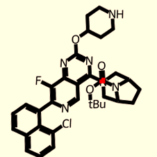 CC(C)(C)OC(=O)N1C2CCC1CN(c1nc(OC3CCNCC3)nc3c(F)c(-c4cccc5cccc(Cl)c45)ncc13)C2